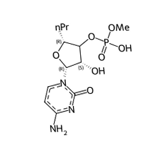 CCC[C@H]1O[C@@H](n2ccc(N)nc2=O)[C@@H](O)C1OP(=O)(O)OC